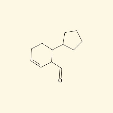 O=CC1C=CCCC1C1CCCC1